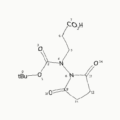 CC(C)(C)OC(=O)N(CCC(=O)O)N1C(=O)CCC1=O